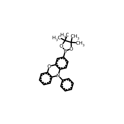 CC1(C)OB(c2ccc3c(c2)Oc2ccccc2N3c2ccccc2)OC1(C)C